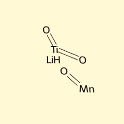 [LiH].[O]=[Mn].[O]=[Ti]=[O]